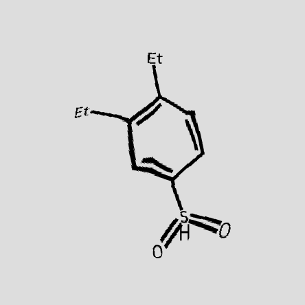 CCc1ccc([SH](=O)=O)cc1CC